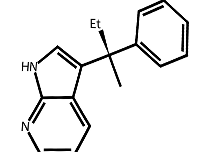 [CH2]C[C@](C)(c1ccccc1)c1c[nH]c2ncccc12